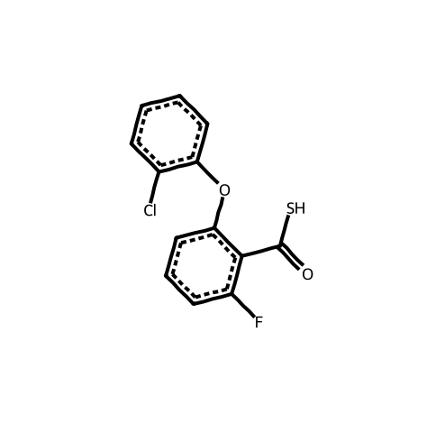 O=C(S)c1c(F)cccc1Oc1ccccc1Cl